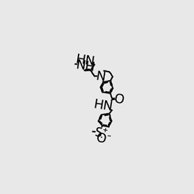 CN/C=C(\C=N)CN1CCCc2cc(C(=O)NCc3ccc([S+](C)[O-])cc3)ccc21